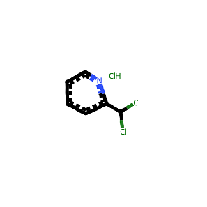 Cl.ClC(Cl)c1ccccn1